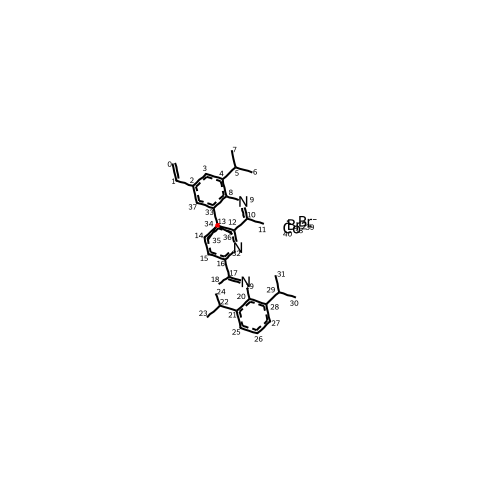 C=Cc1cc(C(C)C)c(N=C(C)c2cccc(C(C)=Nc3c(C(C)C)cccc3C(C)C)n2)c(C(C)C)c1.[Br-].[Br-].[Co+2]